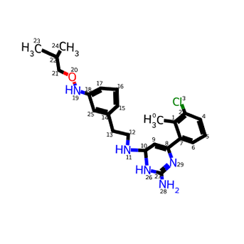 Cc1c(Cl)cccc1C1=CC(NCCc2cccc(NOCC(C)C)c2)NC(N)=N1